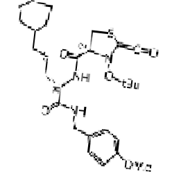 COc1ccc(CNC(=O)[C@H](CSCC2CCCCC2)NC(=O)[C@H]2CSC(=C=O)N2OC(C)(C)C)cc1